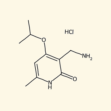 Cc1cc(OC(C)C)c(CN)c(=O)[nH]1.Cl